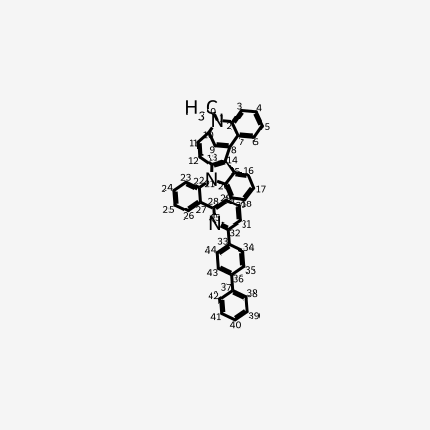 CN1c2ccccc2C2=CC1C=Cc1c2c2ccccc2n1-c1ccccc1-c1cccc(-c2ccc(-c3ccccc3)cc2)n1